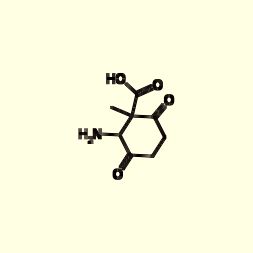 CC1(C(=O)O)C(=O)CCC(=O)C1N